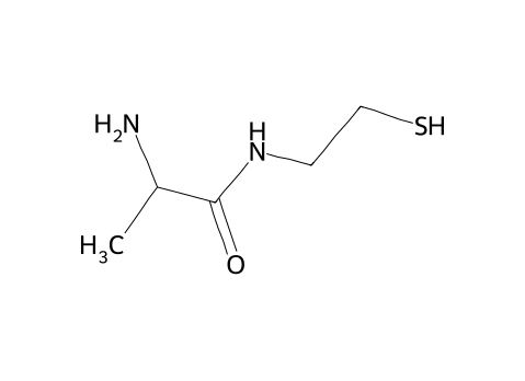 CC(N)C(=O)NCCS